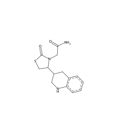 NC(=O)CN1C(=O)SCC1C1CNc2ccccc2C1